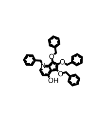 Oc1ccn(Cc2ccccc2)c2c(OCc3ccccc3)c(OCc3ccccc3)c(OCc3ccccc3)c1-2